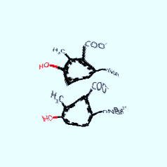 CCCCCCCCCc1ccc(O)c(C)c1C(=O)[O-].CCCCCCCCCc1ccc(O)c(C)c1C(=O)[O-].[Ba+2]